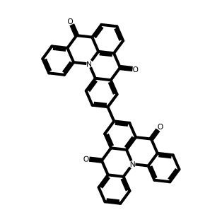 O=c1c2ccccc2n2c3ccc(-c4cc5c(=O)c6ccccc6n6c7ccccc7c(=O)c(c4)c56)cc3c(=O)c3cccc1c32